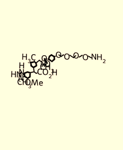 COc1cc(C(CC(=O)O)c2ccc(C)c(CN(C)S(=O)(=O)c3ccc(OCCOCCOCCOCCN)cc3)c2)cc2c1N(C)NN2